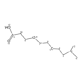 CC(C)CCOCCOCCC(=O)O